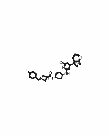 O=C(N[C@H]1CC[C@H](Nc2cc(-c3c[nH]c4ncccc34)cc(Cl)n2)CC1)C1CN(Cc2ccc(F)cc2)C1